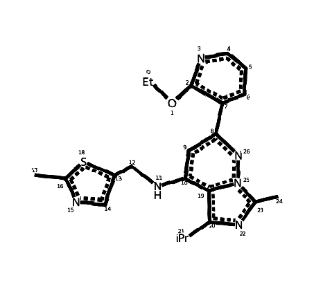 CCOc1ncccc1-c1cc(NCc2cnc(C)s2)c2c(C(C)C)nc(C)n2n1